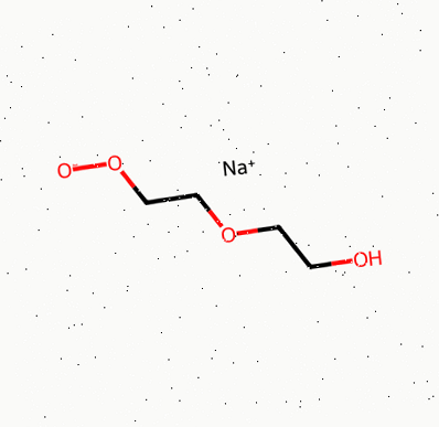 [Na+].[O-]OCCOCCO